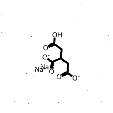 O=C([O-])CC(CC(=O)O)C(=O)[O-].[Na+].[Na+]